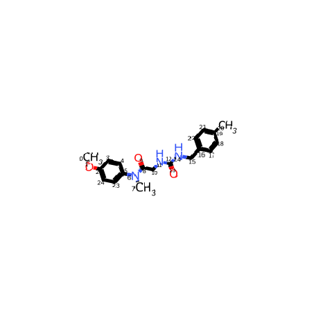 COc1ccc(N(C)C(=O)CNC(=O)NCc2ccc(C)cc2)cc1